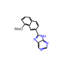 COc1cccc2ccc(-c3nc4cncnc4[nH]3)cc12